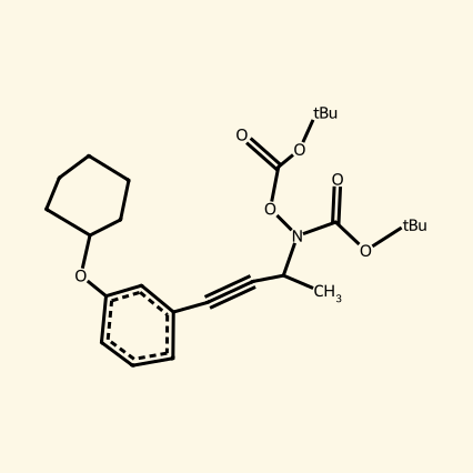 CC(C#Cc1cccc(OC2CCCCC2)c1)N(OC(=O)OC(C)(C)C)C(=O)OC(C)(C)C